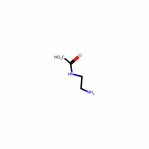 NCCNC(=O)C(=O)O